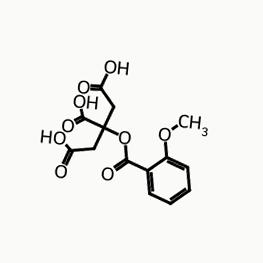 COc1ccccc1C(=O)OC(CC(=O)O)(CC(=O)O)C(=O)O